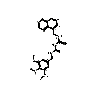 COc1cc(CNC(=O)NC(=N)NCc2cccc3ccccc23)cc(OC)c1OC